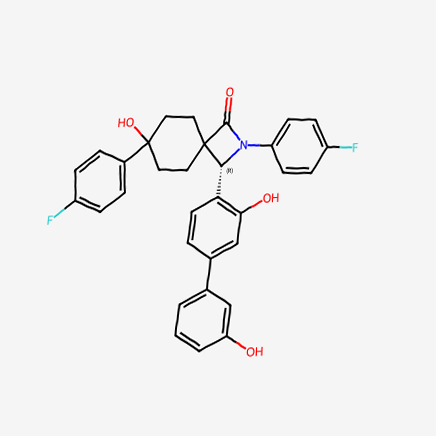 O=C1N(c2ccc(F)cc2)[C@H](c2ccc(-c3cccc(O)c3)cc2O)C12CCC(O)(c1ccc(F)cc1)CC2